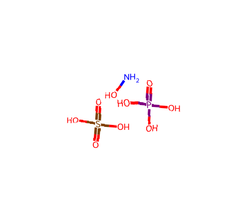 NO.O=P(O)(O)O.O=S(=O)(O)O